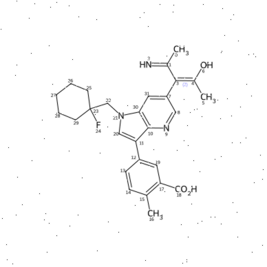 CC(=N)/C(=C(/C)O)c1cnc2c(-c3ccc(C)c(C(=O)O)c3)cn(CC3(F)CCCCC3)c2c1